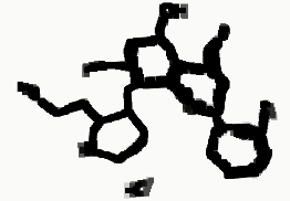 Cl.O=c1cc(-c2ccccc2Cl)oc2c(C3CCNC3CCO)c(O)cc(O)c12